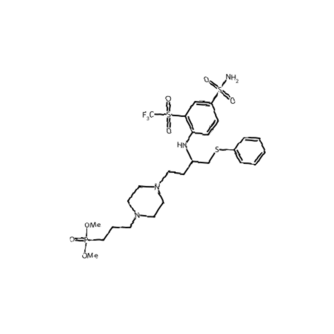 COP(=O)(CCCN1CCN(CCC(CSc2ccccc2)Nc2ccc(S(N)(=O)=O)cc2S(=O)(=O)C(F)(F)F)CC1)OC